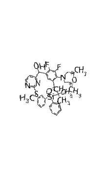 CSc1nccc(C(O)c2cc(CO[Si](c3ccccc3)(c3ccccc3)C(C)(C)C)c(N3C[C@@H](C)O[C@H](C)C3)c(F)c2F)n1